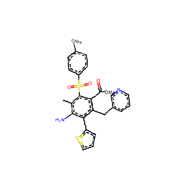 COC(=O)c1c(Cc2cccnc2)c(-c2cccs2)c(N)c(C)c1S(=O)(=O)c1ccc(OC)cc1